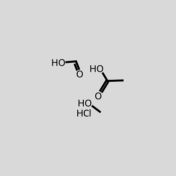 CC(=O)O.CO.Cl.O=CO